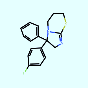 Fc1ccc(C2(c3ccccc3)CN=C3SCCCN32)cc1